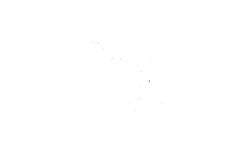 CCOc1ccccc1[C@@H](C)CC(=O)Nc1sc2c(c1C#N)CCN(C(=O)Cn1cc(C)nc1C)C2